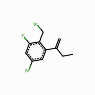 C=C(CC)c1cc(Br)cc(F)c1CBr